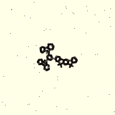 CC1(C)c2ccccc2-c2cc3c(cc21)C(C)(C)c1cc(-c2cc(-n4c5ccccc5c5ccccc54)cc(-n4c5ccccc5c5ccccc54)c2)ccc1-3